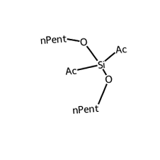 CCCCCO[Si](OCCCCC)(C(C)=O)C(C)=O